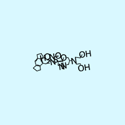 NS(=O)(=NC(=O)Cc1c2c(cc3c1CCC3)CCC2)c1cnn2c1OCC(N(CCO)CCO)C2